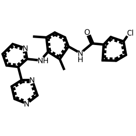 Cc1ccc(NC(=O)c2cccc(Cl)c2)c(C)c1Nc1ncccc1-c1ccncn1